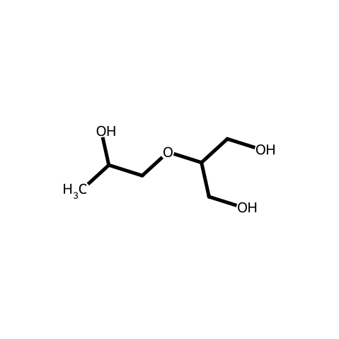 CC(O)COC(CO)CO